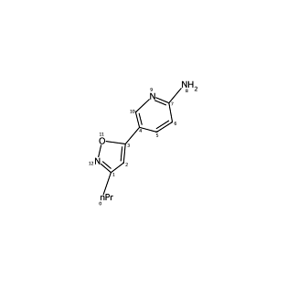 CCCc1cc(-c2ccc(N)nc2)on1